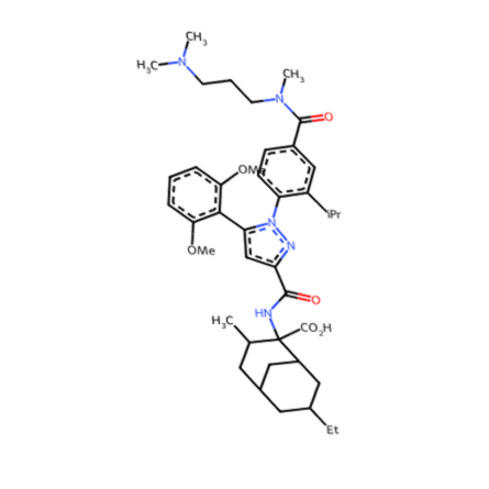 CCC1CC2CC(C)C(NC(=O)c3cc(-c4c(OC)cccc4OC)n(-c4ccc(C(=O)N(C)CCCN(C)C)cc4C(C)C)n3)(C(=O)O)C(C1)C2